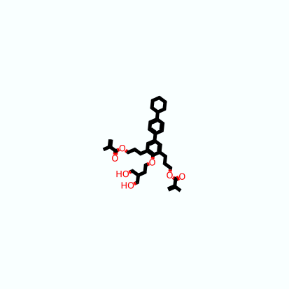 C=C(C)C(=O)OCCCc1cc(-c2ccc(C3CCCCC3)cc2)cc(CCCOC(=O)C(=C)C)c1OCCC(CO)CO